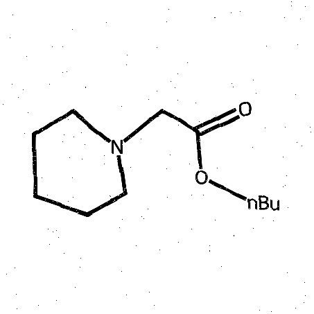 CCCCOC(=O)CN1CCCCC1